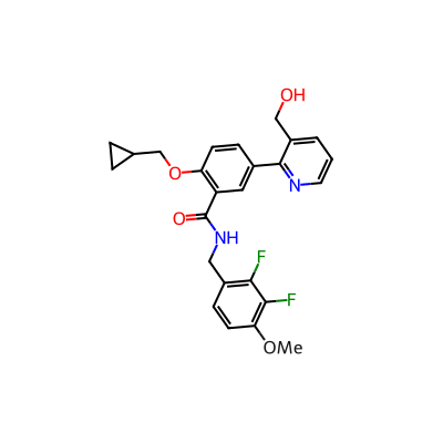 COc1ccc(CNC(=O)c2cc(-c3ncccc3CO)ccc2OCC2CC2)c(F)c1F